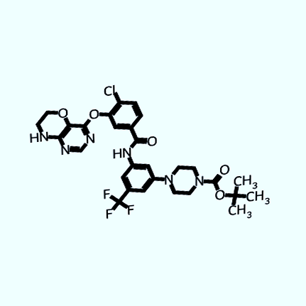 CC(C)(C)OC(=O)N1CCN(c2cc(NC(=O)c3ccc(Cl)c(Oc4ncnc5c4OCCN5)c3)cc(C(F)(F)F)c2)CC1